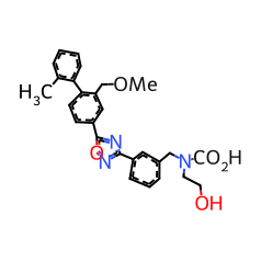 COCc1cc(-c2nc(-c3cccc(CN(CCO)C(=O)O)c3)no2)ccc1-c1ccccc1C